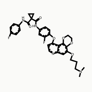 CN(C)CCCOc1cc2nccc(Oc3ccc(NC(=O)C4(C(=O)Nc5ccc(F)cc5)CC4)cc3F)c2c2c1OCCO2